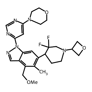 COCc1c(C)c(C2CCN(C3COC3)CC2(F)F)cc2c1cnn2-c1cc(N2CCOCC2)ncn1